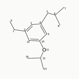 CCc1cc(CC(C)C)cc(OC(C)C)c1